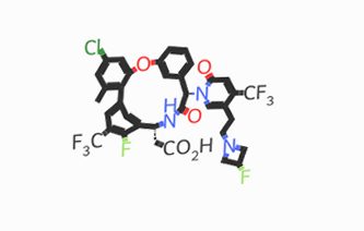 Cc1cc(Cl)cc2c1-c1cc(c(F)c(C(F)(F)F)c1)[C@@H](CC(=O)O)NC(=O)[C@@H](n1cc(CCN3CC(F)C3)c(C(F)(F)F)cc1=O)c1cccc(c1)O2